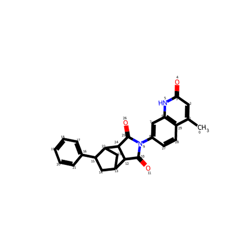 Cc1cc(=O)[nH]c2cc(N3C(=O)C4C5CC(c6ccccc6)C(C5)C4C3=O)ccc12